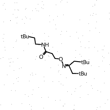 CC(C)(C)CCNC(=O)CCON=C(CC(C)(C)C)CC(C)(C)C